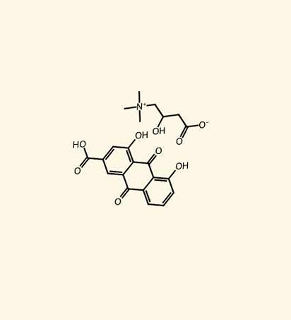 C[N+](C)(C)CC(O)CC(=O)[O-].O=C(O)c1cc(O)c2c(c1)C(=O)c1cccc(O)c1C2=O